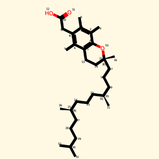 Cc1c(C)c2c(c(C)c1CC(=O)O)CC[C@@](C)(CCC[C@@H](C)CCC[C@H](C)CCCC(C)C)O2